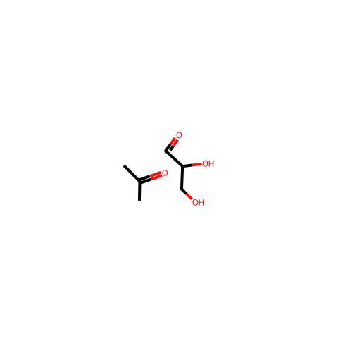 CC(C)=O.O=CC(O)CO